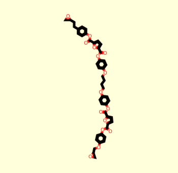 O=C(Oc1ccc(CCC2CO2)cc1)c1ccc(C(=O)Oc2ccc(OCCCCOc3ccc(OC(=O)c4ccc(C(=O)Oc5ccc(OCC6CO6)cc5)o4)cc3)cc2)o1